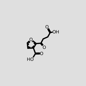 O=C(O)CCC(=O)c1occc1C(=O)O